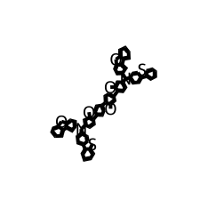 c1ccc2c(c1)oc1ccc(N(c3ccc4c(c3)oc3cc5c(cc34)oc3cc4c(cc35)oc3cc(N(c5ccc6c(c5)sc5ccccc56)c5ccc6oc7ccccc7c6c5)ccc34)c3ccc4c(c3)sc3ccccc34)cc12